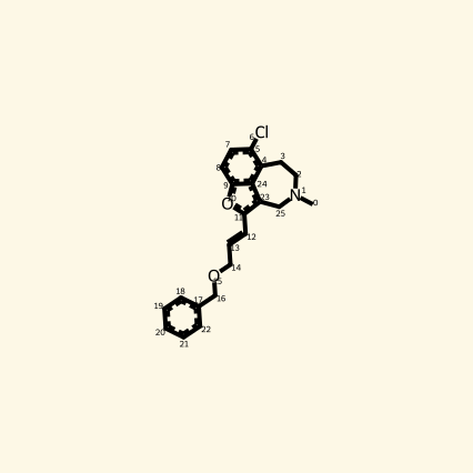 CN1CCc2c(Cl)ccc3oc(/C=C/COCc4ccccc4)c(c23)C1